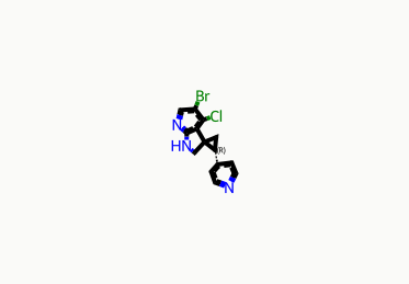 Clc1c(Br)cnc2c1C1(CN2)C[C@@H]1c1ccncc1